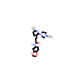 CN1CCN(c2nc(C(F)(F)F)ccc2/C=C/C(=O)Nc2ccc3c(c2)OCCO3)CC1